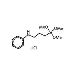 CO[Si](CCCNc1ccccc1)(OC)OC.Cl